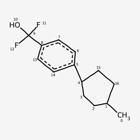 CC1CCC(c2ccc(C(O)(F)F)cc2)CC1